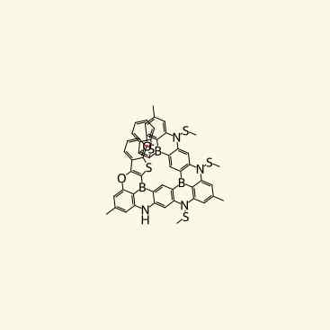 CSN1c2cc3c(cc2B2c4sc5ccccc5c4Oc4cc(C)cc1c42)B1c2cc4c(cc2N(SC)c2cc(C)cc(c21)N3SC)Nc1cc(C)cc2c1B4c1sc3ccccc3c1O2